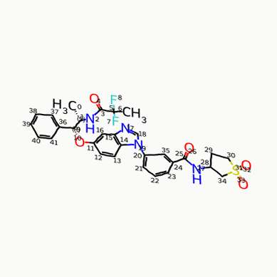 C[C@H](NC(=O)C(C)(F)F)[C@H](Oc1ccc2c(c1)ncn2-c1cccc(C(=O)NC2CCS(=O)(=O)C2)c1)c1ccccc1